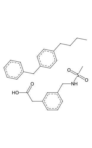 CCCCc1ccc(Cc2ccccc2)cc1.CS(=O)(=O)NCc1cccc(CC(=O)O)c1